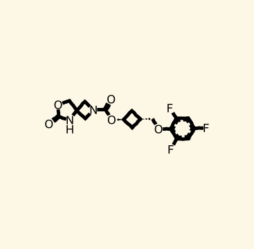 O=C1NC2(CO1)CN(C(=O)O[C@H]1C[C@@H](COc3c(F)cc(F)cc3F)C1)C2